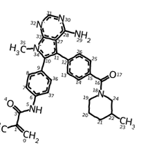 C=C(C)C(=O)Nc1ccc(-c2c(-c3ccc(C(=O)N4CCCC(C)C4)cc3)c3c(N)ncnc3n2C)cc1